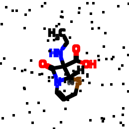 CCNC1(C(=O)O)C(=O)N2C=CCS[C@H]21